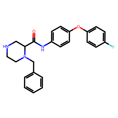 O=C(Nc1ccc(Oc2ccc(F)cc2)cc1)C1CNCCN1Cc1ccccc1